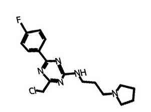 Fc1ccc(-c2nc(CCl)nc(NCCCN3CCCC3)n2)cc1